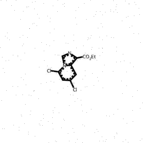 CCOC(=O)c1ncn2c(Cl)cc(Cl)cc12